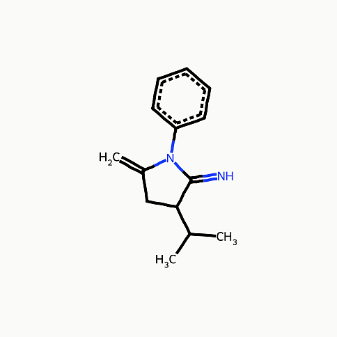 C=C1CC(C(C)C)C(=N)N1c1ccccc1